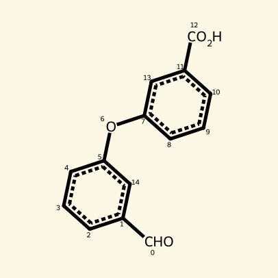 O=Cc1cccc(Oc2cccc(C(=O)O)c2)c1